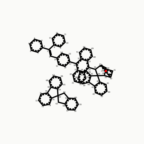 C(=C(c1ccccc1)c1ccccc1)c1ccc(-c2c3ccccc3c(C3c4ccc5cc4C5C34c3ccccc3-c3ccccc34)c3ccccc23)cc1.c1ccc2c(c1)CC1(C2)c2ccccc2-c2ccccc21